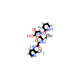 CC(C)(C)C[C@H](NC(=O)C(=O)Nc1cccnc1C(F)(F)F)C(=O)N[C@@H](C[C@@H]1CCCNC1=O)C(=O)CO